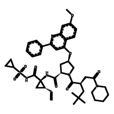 C=C[C@@H]1C[C@]1(NC(=O)[C@@H]1C[C@@H](Oc2cc(-c3ccccc3)nc3cc(OC)ccc23)CN1C(=O)[C@@H](CC(=O)N1CCCCC1)CC(C)(C)C)C(=O)NS(=O)(=O)C1CC1